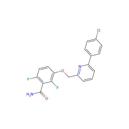 NC(=O)c1c(F)ccc(OCc2cccc(-c3ccc(Cl)cc3)n2)c1F